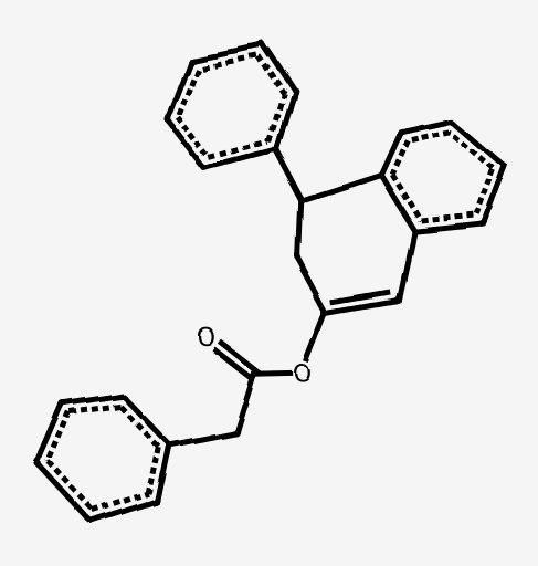 O=C(Cc1ccccc1)OC1=Cc2ccccc2C(c2ccccc2)C1